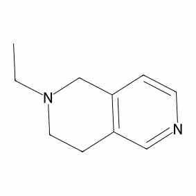 CCN1CCc2cnccc2C1